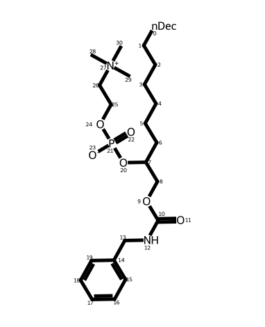 CCCCCCCCCCCCCCCCC(COC(=O)NCc1ccccc1)OP(=O)([O-])OCC[N+](C)(C)C